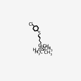 CC(C)(C)[Si](C)(C)OCCC=CSc1ccc(Cl)cc1